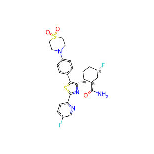 NC(=O)[C@@H]1C[C@@H](F)CC[C@H]1c1nc(-c2ccc(F)cn2)sc1-c1ccc(N2CCS(=O)(=O)CC2)cc1